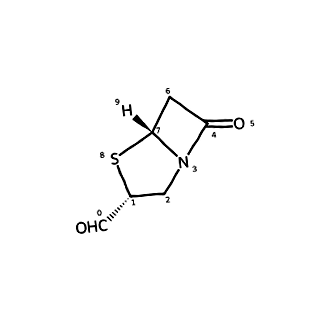 O=C[C@H]1CN2C(=O)C[C@H]2S1